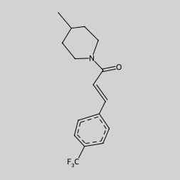 CC1CCN(C(=O)C=Cc2ccc(C(F)(F)F)cc2)CC1